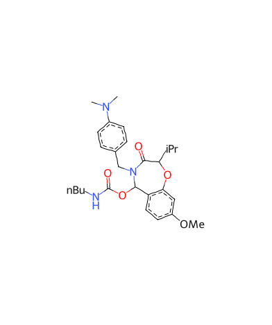 CCCCNC(=O)OC1c2ccc(OC)cc2OC(C(C)C)C(=O)N1Cc1ccc(N(C)C)cc1